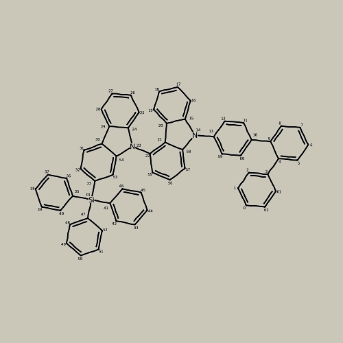 c1ccc(-c2ccccc2-c2ccc(-n3c4ccccc4c4c(-n5c6ccccc6c6ccc([Si](c7ccccc7)(c7ccccc7)c7ccccc7)cc65)cccc43)cc2)cc1